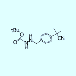 CC(C)(C)OC(=O)NNCc1ccc(C(C)(C)C#N)cc1